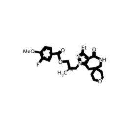 CCc1nn(C[C@@H](C)COC(=O)c2ccc(OC)c(F)c2)c2c1C(=O)NCC1(CCOCC1)C2